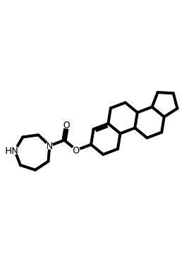 O=C(OC1C=C2CCC3C4CCCC4CCC3C2CC1)N1CCCNCC1